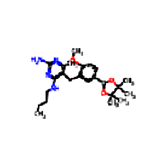 CCCCNc1nc(N)nc(C)c1Cc1cc(B2OC(C)(C)C(C)(C)O2)ccc1OC